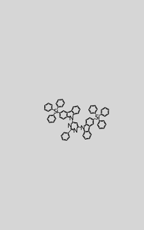 c1ccc(-c2nc(-n3c4ccccc4c4cc([Si](c5ccccc5)(c5ccccc5)c5ccccc5)ccc43)cc(-n3c4ccccc4c4cc([Si](c5ccccc5)(c5ccccc5)c5ccccc5)ccc43)n2)cc1